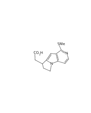 CSc1nccc2c1cc1n2CCC1CC(=O)O